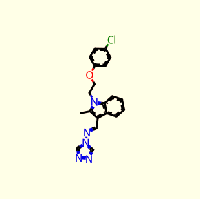 Cc1c(C=Nn2cnnc2)c2ccccc2n1CCOc1ccc(Cl)cc1